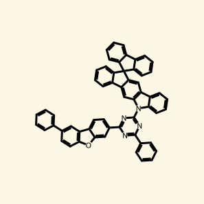 c1ccc(-c2ccc3oc4cc(-c5nc(-c6ccccc6)nc(-n6c7ccccc7c7cc8c(cc76)-c6ccccc6C86c7ccccc7-c7ccccc76)n5)ccc4c3c2)cc1